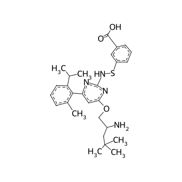 Cc1cccc(C(C)C)c1-c1cc(OCC(N)CC(C)(C)C)nc(NSc2cccc(C(=O)O)c2)n1